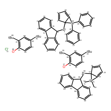 C1=C[C]2([Zr][CH]3c4ccccc4-c4ccccc43)C(=C1)[Si]2(c1ccccc1)c1ccccc1.CC(C)(C)c1ccc([O-])c(C(C)(C)C)c1.CC(C)(C)c1ccc([O-])c(C(C)(C)C)c1.C[Si]1(C)C2=CC=C[C]21[Zr][CH]1c2ccccc2-c2ccccc21.[Cl-]